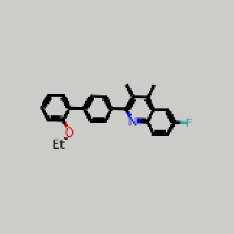 CCOc1ccccc1-c1ccc(-c2nc3ccc(F)cc3c(C)c2C)cc1